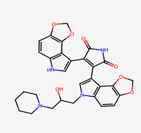 O=C1NC(=O)C(c2cn(CC(O)CN3CCCCC3)c3ccc4c(c23)OCO4)=C1c1c[nH]c2ccc3c(c12)OCO3